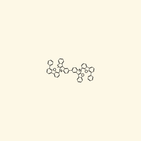 c1ccc(-c2cccc3c2oc2c(-n4c5ccc(-c6ccc7c(c6)c6c8ccccc8sc6n7-c6cccc7c6oc6c(-c8ccccc8)cccc67)cc5c5c6ccccc6oc54)cccc23)cc1